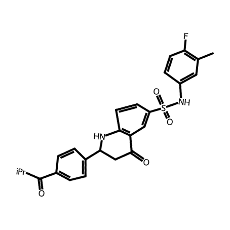 Cc1cc(NS(=O)(=O)c2ccc3c(c2)C(=O)CC(c2ccc(C(=O)C(C)C)cc2)N3)ccc1F